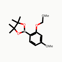 COCOc1cc(OC)ccc1B1OC(C)(C)C(C)(C)O1